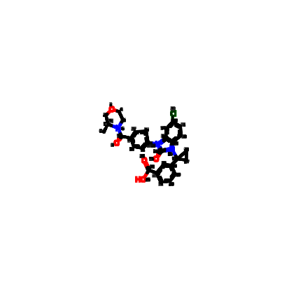 C[C@H]1COCCN1C(=O)c1ccc(-n2c(=O)n(C3(c4cccc(C(=O)O)c4)CC3)c3ccc(Cl)cc32)cc1